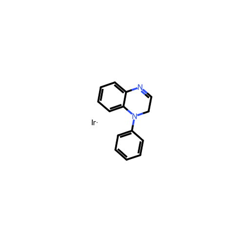 C1=Nc2ccccc2N(c2ccccc2)C1.[Ir]